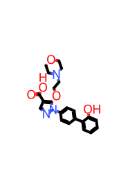 O=C(O)c1cnn(-c2ccc(-c3ccccc3O)cc2)c1OCCN1CCOCC1